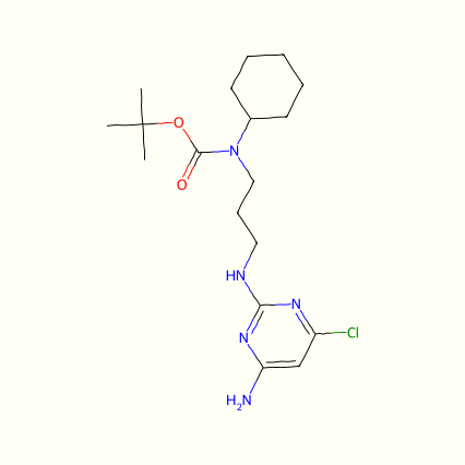 CC(C)(C)OC(=O)N(CCCNc1nc(N)cc(Cl)n1)C1CCCCC1